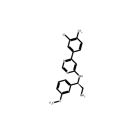 NC[C@H](Nc1cc(-c2ccc(C(F)(F)F)c(Cl)c2)ncn1)c1cccc(OC(F)(F)F)c1